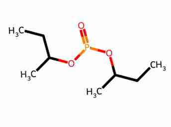 CCC(C)O[P](=O)OC(C)CC